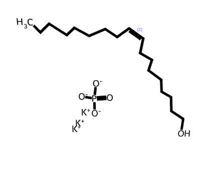 CCCCCCCC/C=C\CCCCCCCCO.O=P([O-])([O-])[O-].[K+].[K+].[K+]